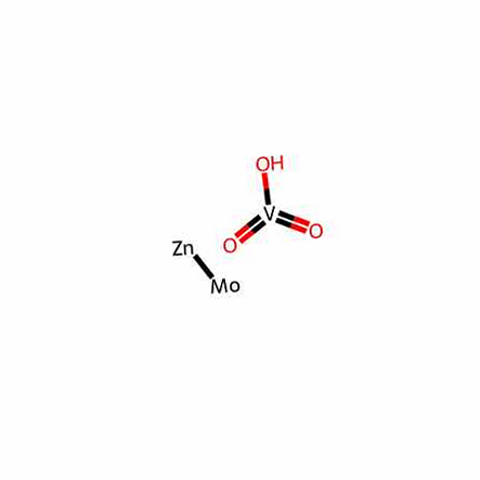 [O]=[V](=[O])[OH].[Zn][Mo]